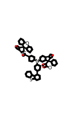 c1ccc2c(c1)Oc1ccccc1C21c2ccccc2-c2ccc(-c3ccc(N(c4ccc(-c5cccc6sc7ccccc7c56)cc4)c4ccc5c(c4)C4(c6ccccc6Oc6ccccc64)c4ccccc4-5)cc3)cc21